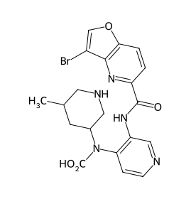 CC1CNCC(N(C(=O)O)c2ccncc2NC(=O)c2ccc3occ(Br)c3n2)C1